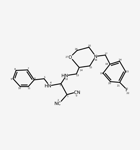 N#CC(C#N)C(NCc1ccccc1)NCC1CN(Cc2ccc(F)cc2)CCO1